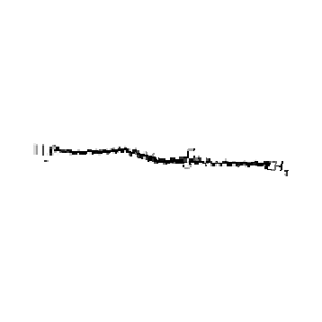 CCCCCCCCC=CCCCCCCCCCCCCCCCCCCCCOC(=O)CCCCCCCC=CCCCCCCCC